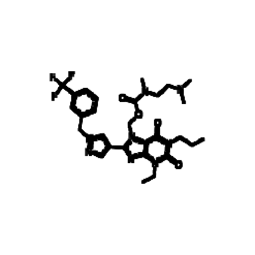 CCCn1c(=O)c2c(nc(-c3cnn(Cc4cccc(C(F)(F)F)c4)c3)n2COC(=O)N(C)CCN(C)C)n(CC)c1=O